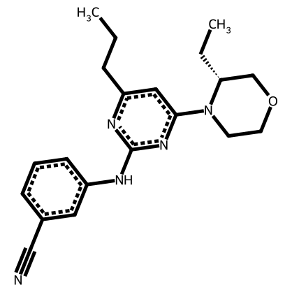 CCCc1cc(N2CCOC[C@H]2CC)nc(Nc2cccc(C#N)c2)n1